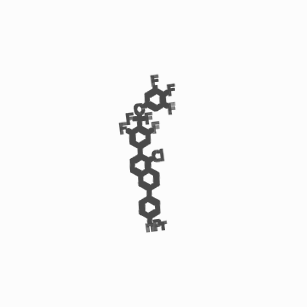 CCCc1ccc(-c2ccc3c(Cl)c(-c4cc(F)c(C(F)(F)Oc5cc(F)c(F)c(F)c5)c(F)c4)ccc3c2)cc1